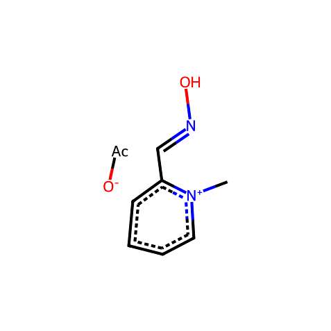 CC(=O)[O-].C[n+]1ccccc1C=NO